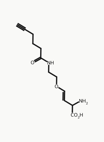 C#CCCCC(=O)NCCO/C=C/C(N)C(=O)O